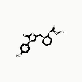 CC(C)(C)OC(=O)OC1CCCCN1CC1CN(c2ccc(C#N)cc2)C(=O)O1